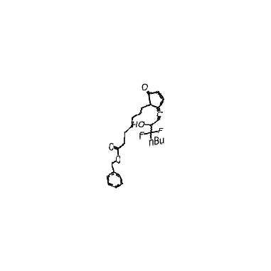 CCCCC(F)(F)C(O)C=C=C1C=CC(=O)C1CCCCCCC(=O)OCc1ccccc1